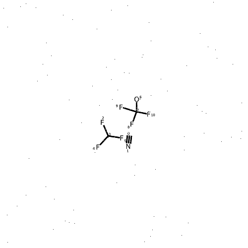 C#N.F[C](F)F.[O]C(F)(F)F